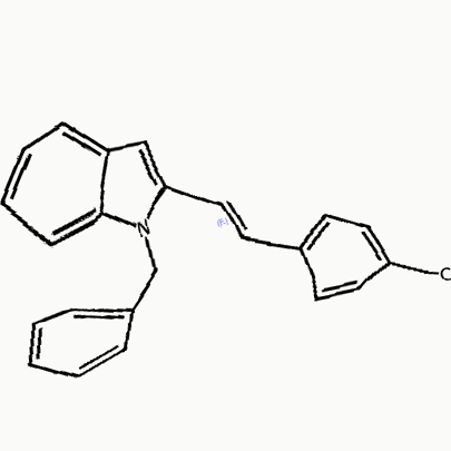 Clc1ccc(/C=C/c2cc3ccccc3n2Cc2ccccc2)cc1